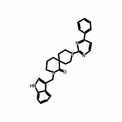 O=C1N(Cc2c[nH]c3ccccc23)CCCC12CCN(c1nccc(-c3ccccc3)n1)CC2